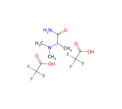 CC(C(N)=O)N(C)C.O=C(O)C(F)(F)F.O=C(O)C(F)(F)F